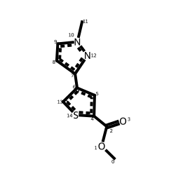 COC(=O)c1cc(-c2ccn(C)n2)cs1